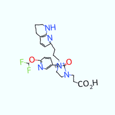 O=C(O)CCN1CC[N@@+](CCCc2ccc3c(n2)NCCC3)(c2ccc(OC(F)F)nc2)C1=O